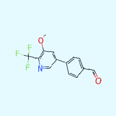 COc1cc(-c2ccc(C=O)cc2)cnc1C(F)(F)F